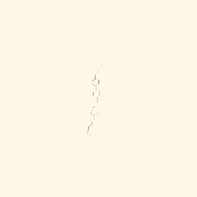 CCCCCc1ccc(C2CCC(COC3CCC(CCC=C(F)C#N)CC3)CC2)cc1